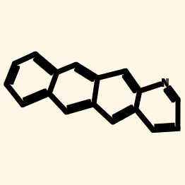 c1ccc2cc3cc4ncccc4cc3cc2c1